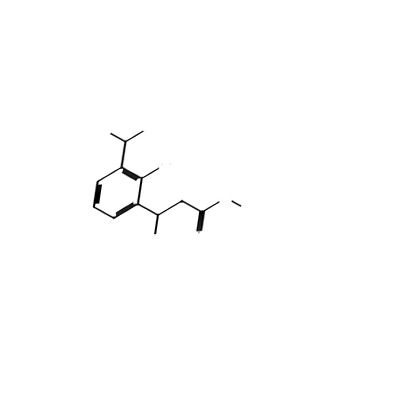 COC(=O)CC(C)c1cccc(C(C)C)c1O